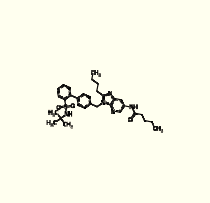 CCCCC(=O)Nc1cnc2c(c1)nc(CCCC)n2Cc1ccc(-c2ccccc2S(=O)(=O)NC(C)(C)C)cc1